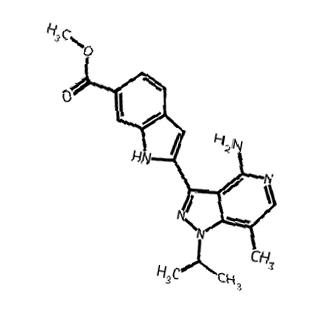 COC(=O)c1ccc2cc(-c3nn(C(C)C)c4c(C)cnc(N)c34)[nH]c2c1